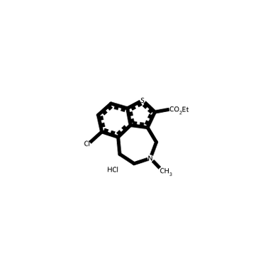 CCOC(=O)c1sc2ccc(Cl)c3c2c1CN(C)CC3.Cl